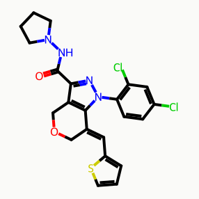 O=C(NN1CCCC1)c1nn(-c2ccc(Cl)cc2Cl)c2c1COCC2=Cc1cccs1